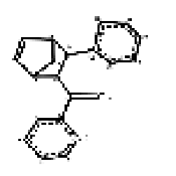 O=C(c1ccccn1)C1C2C=CC(C2)C1c1ccccc1